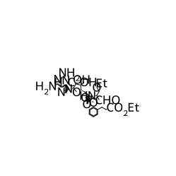 CCOC[C@@H](C=O)NP(=O)(OC[C@H]1O[C@@H](n2cnc3c(N)nc(N)nc32)[C@](C)(O)C1O)Oc1ccccc1CCC(=O)OCC